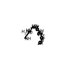 CCc1cc(Nc2cccn3c(-c4ccc(Oc5ccc(C)cn5)c(F)c4F)cnc23)ccc1C(=O)CC(=N)[C@@H](C)CNC(=O)[C@H](N)CCCCC(C)=N